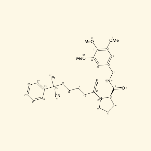 COc1cc(CNC(=O)[C@H]2CCCN2C(=O)CCCC[C@@](C#N)(c2ccccc2)C(C)C)cc(OC)c1OC